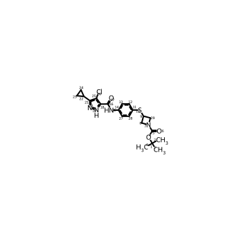 CC(C)(C)OC(=O)N1CC(Sc2ccc(NC(=O)c3[nH]nc(C4CC4)c3Cl)cc2)C1